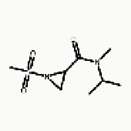 CC(C)N(C)C(=O)C1CN1S(C)(=O)=O